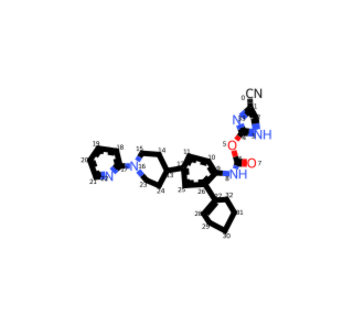 N#Cc1c[nH]c(OC(=O)Nc2ccc(C3CCN(c4ccccn4)CC3)cc2C2=CCCCC2)n1